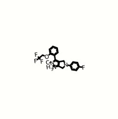 Cn1nc2c(c1-c1ccccc1OCC(F)(F)F)CN(c1ccc(F)cc1)C2